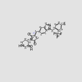 O=C1S/C(=C\c2ccc3c(cnn3Cc3ccc(F)cc3C(F)(F)F)c2)C(=O)N1[C@H]1CCNC[C@@H]1O